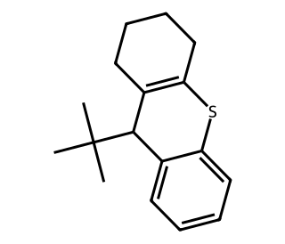 CC(C)(C)C1C2=C(CCCC2)Sc2ccccc21